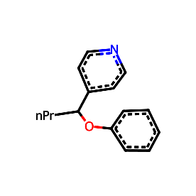 CCCC(Oc1ccccc1)c1ccncc1